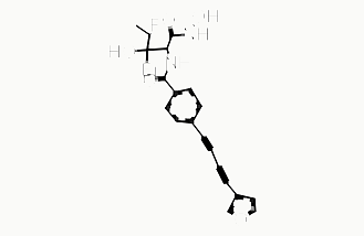 CCC(O)(C(F)F)C(NC(=O)c1ccc(C#CC#Cc2ccoc2)cc1)C(=O)NO